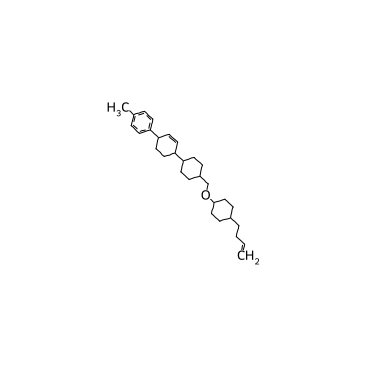 C=CCCC1CCC(OCC2CCC(C3C=CC(c4ccc(C)cc4)CC3)CC2)CC1